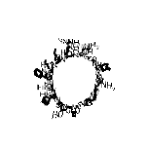 CCCC[C@H]1C(=O)N(C)[C@@H](CCCC)C(=O)N[C@@H](CCCNC(=N)N)C(=O)N[C@H](C(=O)NCC(N)=O)CSCC(=O)N[C@@H](Cc2ccc(C)cc2)C(=O)N(C)[C@@H](C)C(=O)N[C@@H](CC(N)=O)C(=O)N2CCC[C@H]2C(=O)NCC(=O)N[C@@H](CC(C)C)C(=O)N2C[C@H](O)C[C@H]2C(=O)N[C@@H](Cc2c[nH]c3ccccc23)C(=O)N[C@@H](CO)C(=O)N[C@@H](Cc2c[nH]c3ccccc23)C(=O)N1C